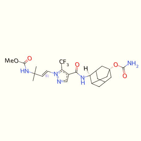 COC(=O)NC(C)(C)/C=C/n1ncc(C(=O)N[C@H]2C3CC4CC2C[C@](OC(N)=O)(C4)C3)c1C(F)(F)F